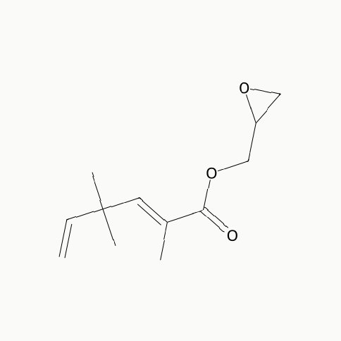 C=CC(C)(C)C=C(C)C(=O)OCC1CO1